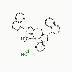 CC1=[C]([Hf]([CH3])(=[GeH2])([C]2=C(C)C(c3cccc4ccccc34)=CC2C)[c]2ccccc2)C(C)C=C1c1cccc2ccccc12.Cl.Cl